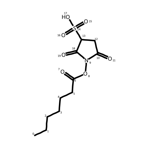 CCCCCCC(=O)ON1C(=O)CC(S(=O)(=O)O)C1=O